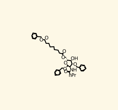 CCCC(=O)N[C@H]1C(OCc2ccccc2)O[C@H](COC(=O)CCCCCCCC(=O)OCc2ccccc2)[C@@H](O)[C@@H]1OCc1ccccc1